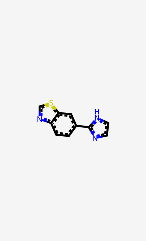 c1c[nH]c(-c2ccc3ncsc3c2)n1